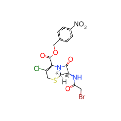 O=C(CBr)N[C@@H]1C(=O)N2C(C(=O)OCc3ccc([N+](=O)[O-])cc3)=C(Cl)CS[C@H]12